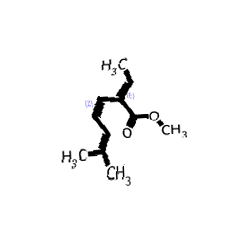 C/C=C(\C=C/C=C(C)C)C(=O)OC